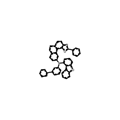 c1ccc(-c2cccc(N(c3ccc4ccc5ccc6nc(-c7ccccc7)oc6c5c4c3)c3cccc4oc5ccccc5c34)c2)cc1